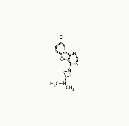 CN(C)C1CN(c2ncnc3c2oc2ccc(Cl)cc23)C1